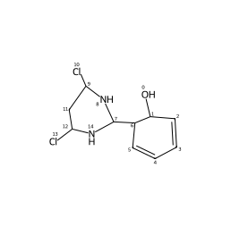 OC1C=CC=CC1C1NC(Cl)CC(Cl)N1